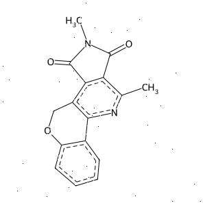 Cc1nc2c(c3c1C(=O)N(C)C3=O)COc1ccccc1-2